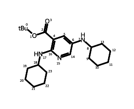 CC(C)(C)OC(=O)c1cc(NC2CCCCC2)cnc1NC1CCCCC1